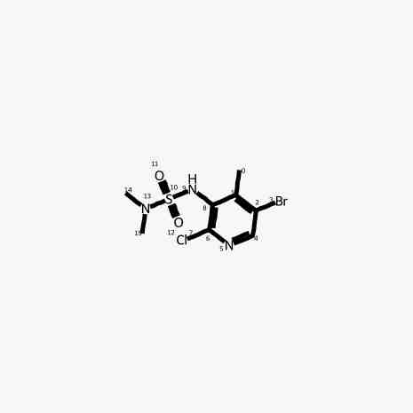 Cc1c(Br)cnc(Cl)c1NS(=O)(=O)N(C)C